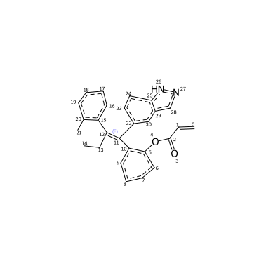 C=CC(=O)Oc1ccccc1/C(=C(\CC)c1ccccc1C)c1ccc2[nH]ncc2c1